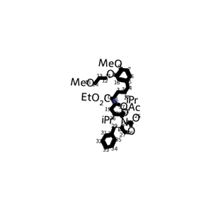 CCOC(=O)/C(C[C@H](Cc1ccc(OC)c(OCCCOC)c1)C(C)C)=C(\C[C@H](C(=O)N1C(=O)OC[C@@H]1Cc1ccccc1)C(C)C)OC(C)=O